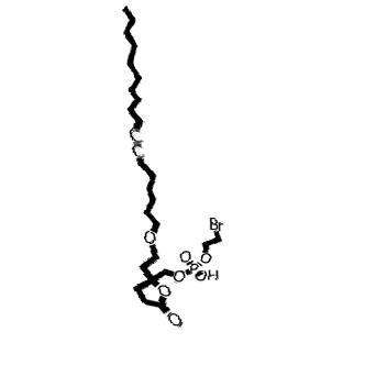 CCCCCCCCCCCCCCCCCCOCCC1(COP(=O)(O)OCCBr)CCC(=O)O1